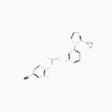 CC(COc1cccc(-n2ccnc2C2CC2)c1)Oc1ccc(C#N)cc1F